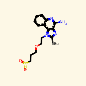 CCCCc1nc2c(N)nc3ccccc3c2n1CCOCCC[SH](=O)=O